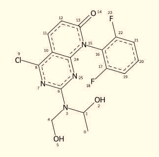 CC(O)N(CO)c1nc(Cl)c2ccc(=O)n(-c3c(F)cccc3F)c2n1